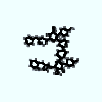 Cn1c(NC[C@@H](N)Cc2ccccc2F)nc(-c2ccncc2)c(-c2ccc(F)cc2)c1=O.N[C@H](CNc1nc(-c2ccncc2)c(-c2ccc(F)cc2)c(=O)[nH]1)Cc1ccccc1